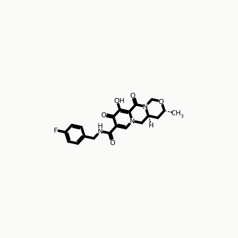 C[C@@H]1C[C@H]2Cn3cc(C(=O)NCc4ccc(F)cc4)c(=O)c(O)c3C(=O)N2CO1